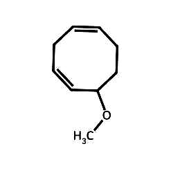 COC1C=CCC=CCC1